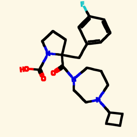 O=C(O)N1CCCC1(Cc1cccc(F)c1)C(=O)N1CCCN(C2CCC2)CC1